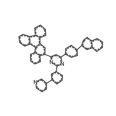 c1cncc(-c2cccc(-c3nc(-c4ccc(-c5ccc6ccccc6c5)cc4)cc(-c4cc5c6ccccc6c6ccccc6c5c5ccccc45)n3)c2)c1